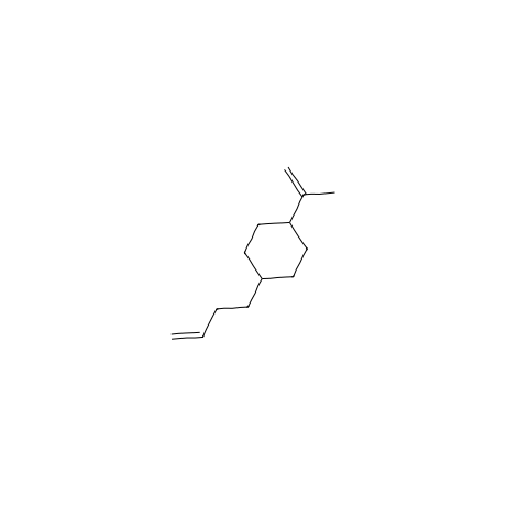 C=CCCC1CCC(C(=C)C)CC1